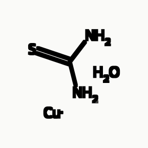 NC(N)=S.O.[Cu]